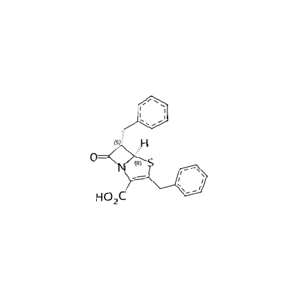 O=C(O)C1=C(Cc2ccccc2)S[C@@H]2[C@@H](Cc3ccccc3)C(=O)N12